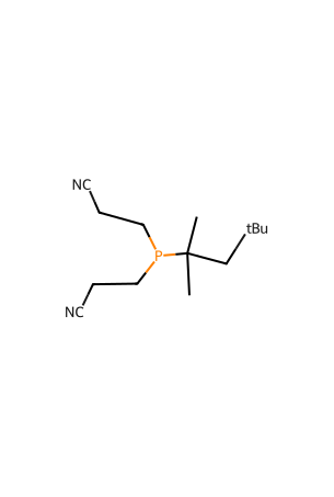 CC(C)(C)CC(C)(C)P(CCC#N)CCC#N